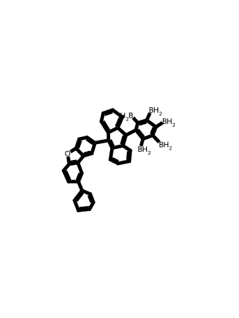 Bc1c(B)c(B)c(-c2c3ccccc3c(-c3ccc4oc5ccc(-c6ccccc6)cc5c4c3)c3ccccc23)c(B)c1B